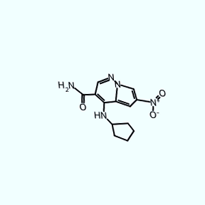 NC(=O)c1cnn2cc([N+](=O)[O-])cc2c1NC1CCCC1